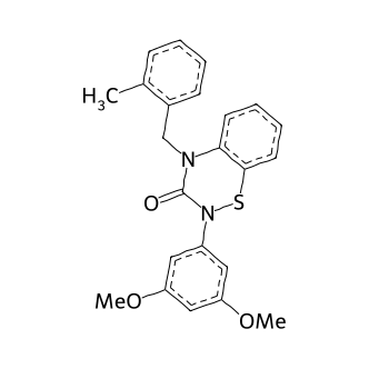 COc1cc(OC)cc(N2Sc3ccccc3N(Cc3ccccc3C)C2=O)c1